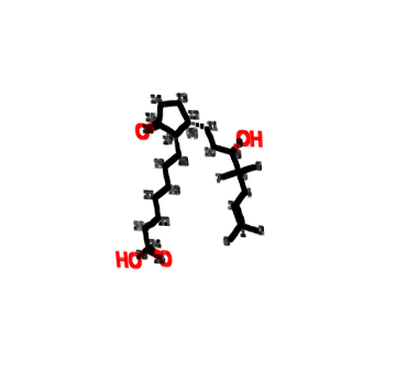 CC(C)=CCC(C)(C)C(O)CC[C@H]1CCC(=O)[C@@H]1CCCCCCC(=O)O